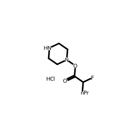 CCCC(F)C(=O)ON1CCNCC1.Cl